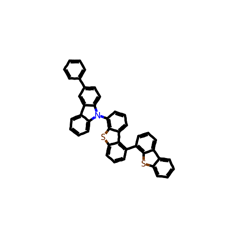 c1ccc(-c2ccc3c(c2)c2ccccc2n3-c2cccc3c2sc2cccc(-c4cccc5c4sc4ccccc45)c23)cc1